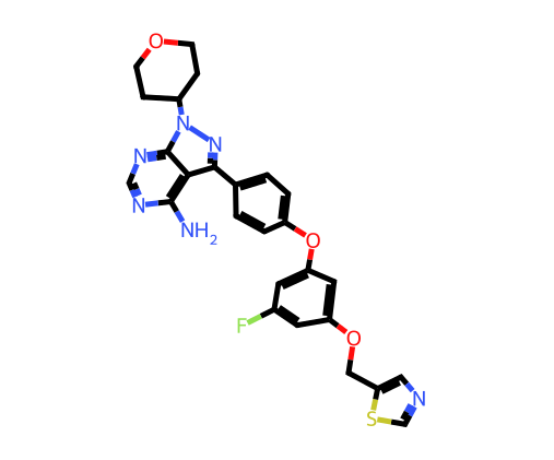 Nc1ncnc2c1c(-c1ccc(Oc3cc(F)cc(OCc4cncs4)c3)cc1)nn2C1CCOCC1